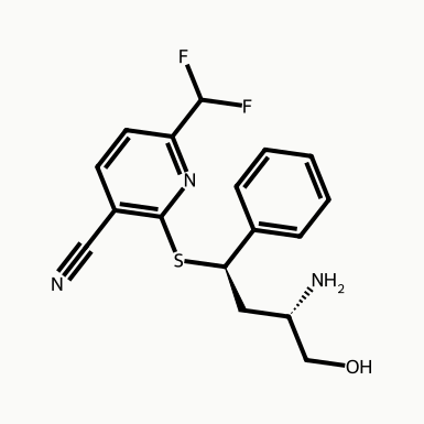 N#Cc1ccc(C(F)F)nc1S[C@H](C[C@H](N)CO)c1ccccc1